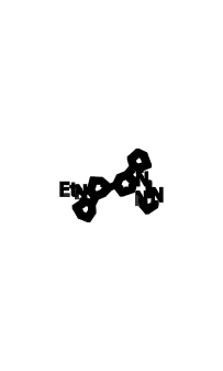 CCn1c2ccccc2c2cc(-c3ccc4c(c3)c3ccccc3n4Cc3ncccn3)ccc21